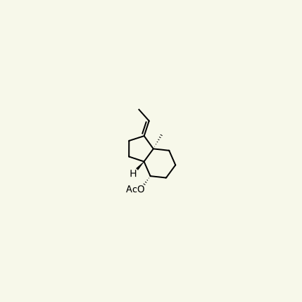 C/C=C1\CC[C@H]2[C@@H](OC(C)=O)CCC[C@]12C